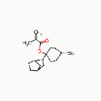 C=C(C)C(=O)OC1(C2CC3CCC2C3)CCC(C(C)(C)C)CC1